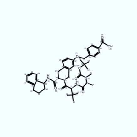 C[C@@H](C(=O)N[C@H](C(=O)N1Cc2cc(OCc3ccc(C(=O)O)cc3)ccc2C[C@H]1C(=O)NC1CCCc2ccccc21)C(C)(C)C)N(C)C(=O)OC(C)(C)C